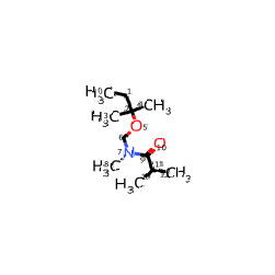 CCC(C)(C)OCN(C)C(=O)C(C)C